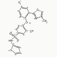 Cc1coc(-c2cc(Cl)ccc2Oc2ccc(S(=O)(=O)Nc3nccs3)cc2C#N)n1